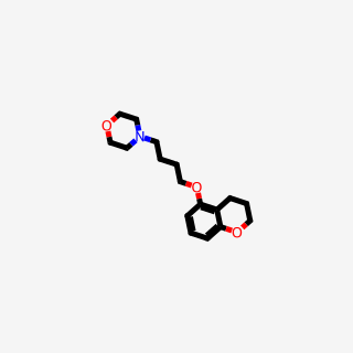 c1cc(OCCCCN2CCOCC2)c2c(c1)OCCC2